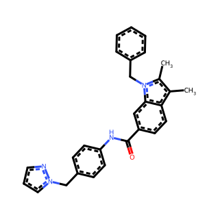 Cc1c(C)n(Cc2ccccc2)c2cc(C(=O)Nc3ccc(Cn4cccn4)cc3)ccc12